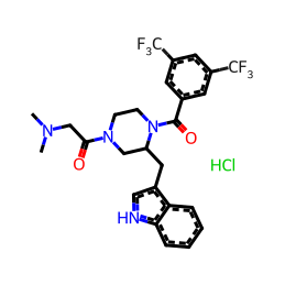 CN(C)CC(=O)N1CCN(C(=O)c2cc(C(F)(F)F)cc(C(F)(F)F)c2)C(Cc2c[nH]c3ccccc23)C1.Cl